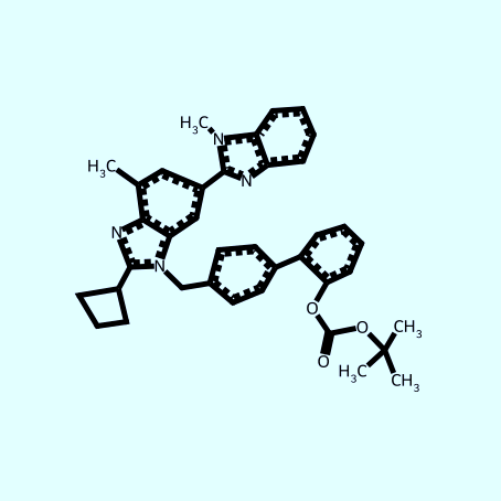 Cc1cc(-c2nc3ccccc3n2C)cc2c1nc(C1CCC1)n2Cc1ccc(-c2ccccc2OC(=O)OC(C)(C)C)cc1